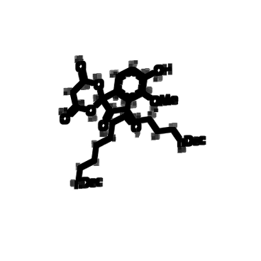 CCCCCCCCCCCCCCCC(=O)c1c(C2(C(=O)CCCCCCCCCCCCCCC)OC(=O)CC(=O)O2)ccc(O)c1OC